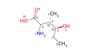 CC[C@H](O)[C@@H](C)C(N)C(=O)O